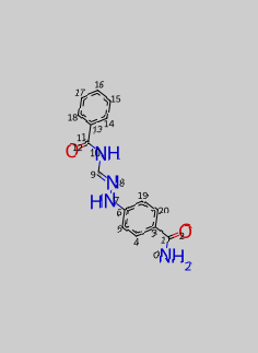 NC(=O)c1ccc(NN=CNC(=O)c2ccccc2)cc1